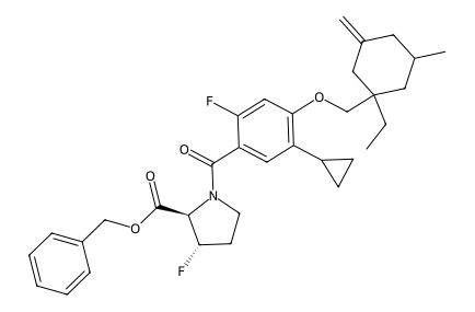 C=C1CC(C)CC(CC)(COc2cc(F)c(C(=O)N3CC[C@H](F)[C@H]3C(=O)OCc3ccccc3)cc2C2CC2)C1